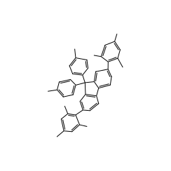 Cc1ccc(C2(c3ccc(C)cc3)c3cc(-c4c(C)cc(C)cc4C)ccc3-c3ccc(-c4c(C)cc(C)cc4C)cc32)cc1